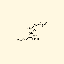 O=C(O)CCC(NC(=S)NC(CCC(=O)O)C(=O)O)C(=O)O